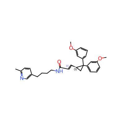 COc1cccc(C2(c3cccc(OC)c3)C[C@H]2/C=C/C(=O)NCCCCc2ccc(C)nc2)c1